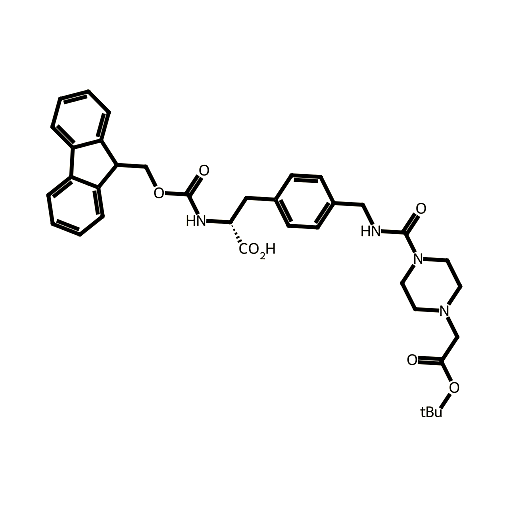 CC(C)(C)OC(=O)CN1CCN(C(=O)NCc2ccc(C[C@@H](NC(=O)OCC3c4ccccc4-c4ccccc43)C(=O)O)cc2)CC1